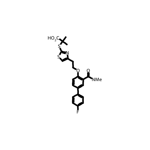 CNC(=O)c1cc(-c2ccc(F)cc2)ccc1OCCc1csc(SC(C)(C)C(=O)O)n1